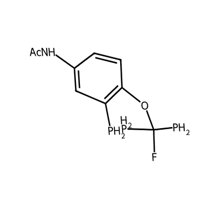 CC(=O)Nc1ccc(OC(F)(P)P)c(P)c1